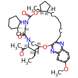 CC[C@@H]1[C@@H]2CN(C(=O)[C@H](C3(C)CCCCC3)NC(=O)O[C@]3(C)CCC[C@H]3CCCCCc3nc4ccc(OC)cc4nc3O2)[C@@H]1C(C)=O